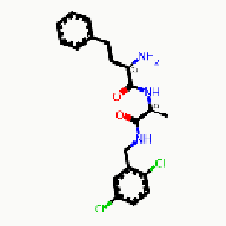 C[C@H](NC(=O)[C@H](N)CCc1ccccc1)C(=O)NCc1cc(Cl)ccc1Cl